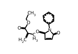 C=C(C)C(=O)OCC.O=C1C=CC(=O)N1c1ccccc1